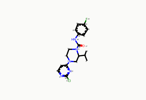 CC(C)C1CN(c2ccnc(Cl)n2)CCN1C(=O)Nc1ccc(F)cc1